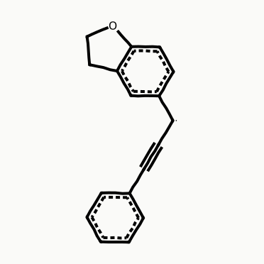 C(#Cc1ccccc1)[CH]c1ccc2c(c1)CCO2